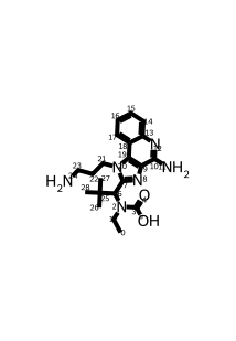 CCN(C(=O)O)C(c1nc2c(N)nc3ccccc3c2n1CCCN)C(C)(C)C